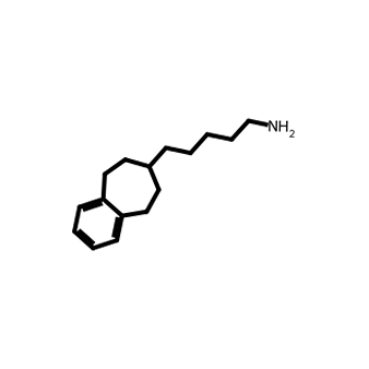 NCCCCCC1CCc2ccccc2CC1